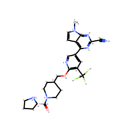 Cn1ccc2c(-c3cnc(OCC4CCN(C(=O)[C@@H]5CCCN5)CC4)c(C(F)(F)F)c3)nc(C#N)nc21